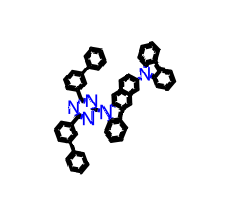 c1ccc(-c2cccc(-c3nc(-c4cccc(-c5ccccc5)c4)nc(-n4c5ccccc5c5cc6cc(-n7c8ccccc8c8ccccc87)ccc6cc54)n3)c2)cc1